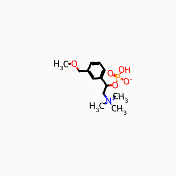 COCc1cccc(C(C[N+](C)(C)C)OP(=O)([O-])O)c1